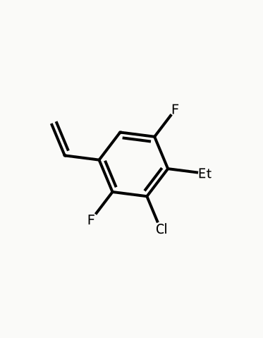 C=Cc1cc(F)c(CC)c(Cl)c1F